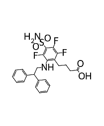 NS(=O)(=O)c1c(F)c(F)c(CCCC(=O)O)c(NCC(c2ccccc2)c2ccccc2)c1F